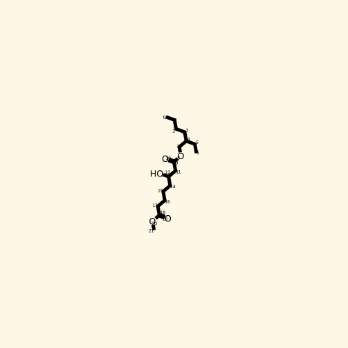 CCCCC(CC)COC(=O)CC(O)CCCCC(=O)OC